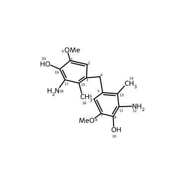 COc1cc(Cc2cc(OC)c(O)c(N)c2C)c(C)c(N)c1O